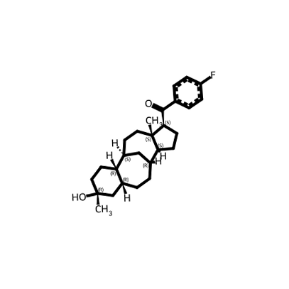 C[C@@]1(O)CC[C@H]2[C@H](CC[C@@H]3C[C@@H]2CC[C@]2(C)[C@@H](C(=O)c4ccc(F)cc4)CC[C@@H]32)C1